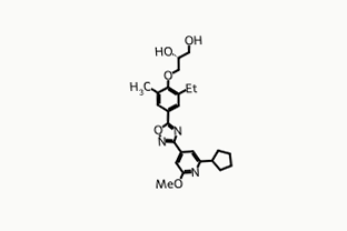 CCc1cc(-c2nc(-c3cc(OC)nc(C4CCCC4)c3)no2)cc(C)c1OC[C@H](O)CO